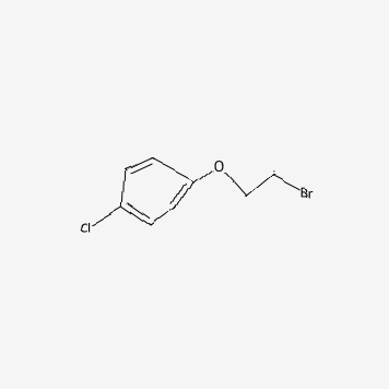 Clc1ccc(OC[CH]Br)cc1